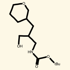 CC(C)(C)OC(=O)NCC(CO)CC1CCCOC1